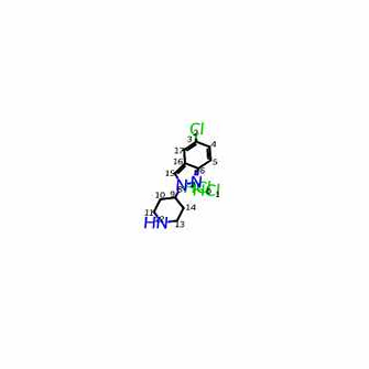 Cl.Cl.Clc1ccc2nn(C3CCNCC3)cc2c1